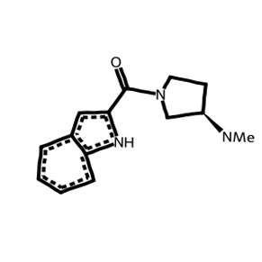 CN[C@@H]1CCN(C(=O)c2cc3ccccc3[nH]2)C1